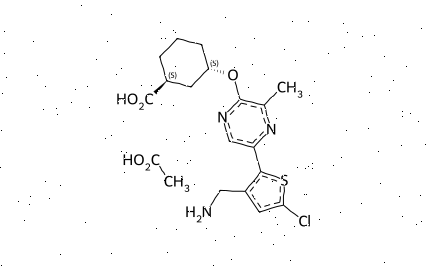 CC(=O)O.Cc1nc(-c2sc(Cl)cc2CN)cnc1O[C@H]1CCC[C@H](C(=O)O)C1